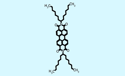 CCCCCCCC(CCCCCCC)N1C(=O)c2ccc3c4ccc5c6c(ccc(c7ccc(c2c37)C1=O)c64)C(=O)N(C(CCCCCCC)CCCCCCC)C5=O